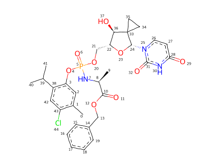 Cc1cc(OP(=O)(N[C@@H](C)C(=O)OCc2ccccc2)OC[C@H]2O[C@@H](n3ccc(=O)[nH]c3=O)C3(CC3)[C@@H]2O)c(C(C)C)cc1Cl